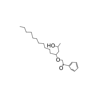 CCCCCCCCCCCC(CC(C)O)OCC(=O)c1ccccc1